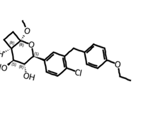 CCOc1ccc(Cc2cc([C@@H]3O[C@]4(OC)CC[C@@H]4[C@H](O)[C@H]3O)ccc2Cl)cc1